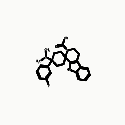 CCCC(=O)N1CCc2c([nH]c3ccccc23)C12CCC(c1cccc(F)c1)(N(C)C)CC2